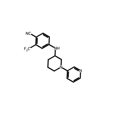 N#Cc1ccc(NC2CCCN(c3cccnc3)C2)cc1C(F)(F)F